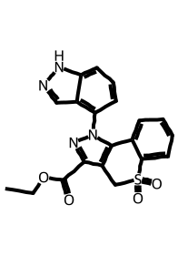 CCOC(=O)c1nn(-c2cccc3[nH]ncc23)c2c1CS(=O)(=O)c1ccccc1-2